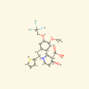 COc1cc2c(cc1OCC(F)(F)F)CC(c1cccs1)n1ccc(=O)c(C(=O)O)c1-2